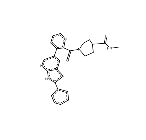 CNC(=O)C1CCN(C(=O)c2ncccc2-c2cnc3[nH]c(-c4ccccc4)cc3c2)CC1